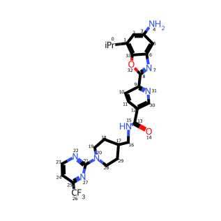 CC(C)c1cc(N)cc2nc(-c3ccc(C(=O)NCC4CCN(c5nccc(C(F)(F)F)n5)CC4)cn3)oc12